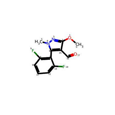 COc1nn(C)c(-c2c(F)cccc2F)c1C=O